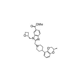 COC(=O)c1ccc2nc(CN3CCC(c4cccc5c4OC[C@@H](C)O5)CC3)n(C[C@@H]3CCO3)c2c1